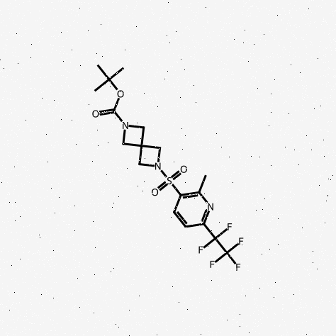 Cc1nc(C(F)(F)C(F)(F)F)ccc1S(=O)(=O)N1CC2(CN(C(=O)OC(C)(C)C)C2)C1